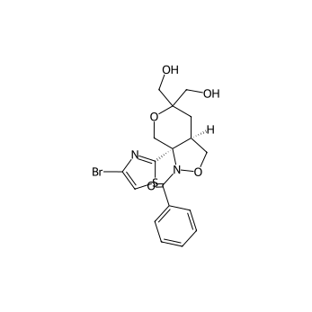 O=C(c1ccccc1)N1OC[C@@H]2CC(CO)(CO)OC[C@@]21c1nc(Br)cs1